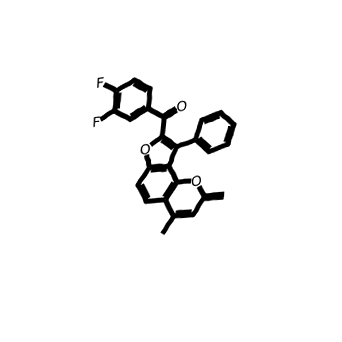 C=C1C=C(C)c2ccc3oc(C(=O)c4ccc(F)c(F)c4)c(-c4ccccc4)c3c2O1